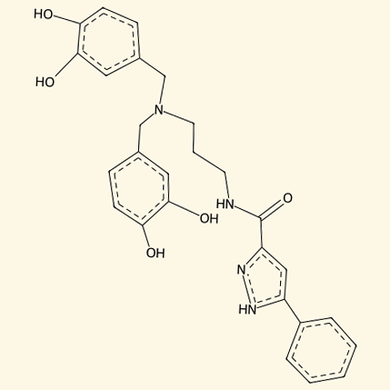 O=C(NCCCN(Cc1ccc(O)c(O)c1)Cc1ccc(O)c(O)c1)c1cc(-c2ccccc2)[nH]n1